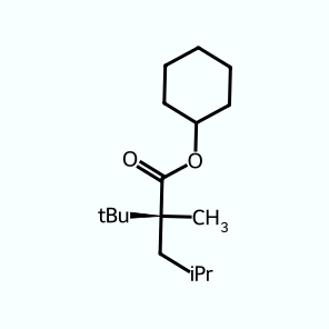 CC(C)C[C@@](C)(C(=O)OC1CCCCC1)C(C)(C)C